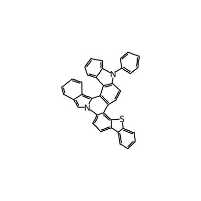 c1ccc(-n2c3ccccc3c3c4c(ccc32)c2c3sc5ccccc5c3ccc2n2cc3ccccc3c42)cc1